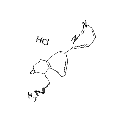 Cl.NCC1OCCc2cc(-c3cccnn3)ccc21